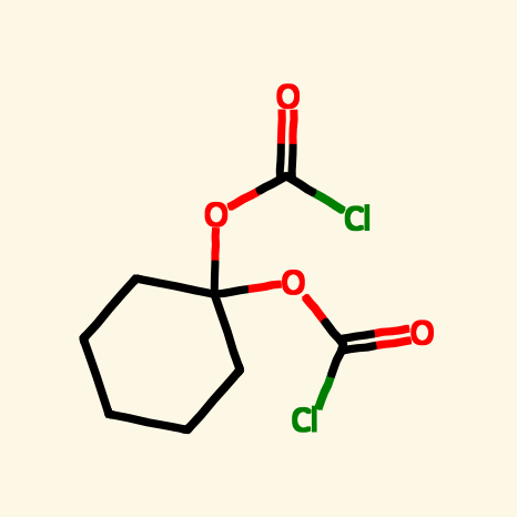 O=C(Cl)OC1(OC(=O)Cl)CCCCC1